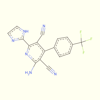 N#Cc1c(N)nc(-c2ncc[nH]2)c(C#N)c1-c1ccc(C(F)(F)F)cc1